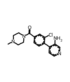 CN1CCN(C(=O)c2ccc(-c3ccncc3N)c(Cl)c2)CC1